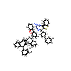 c1ccc(-c2ccc(C3=NC(c4cccc5oc6c(C7Cc8cc9ccccc9c(-c9ccccc9)c8-c8ccccc87)cccc6c45)Nc4c3sc3ccccc43)cc2)cc1